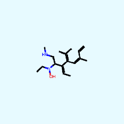 C=C/C(C)=C\C(=C(C)C)/C(=C\C)C(CNC)N(O)CC